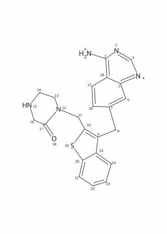 Nc1ncnc2cc(Cc3c(CN4CCNCC4=O)sc4ccccc34)ccc12